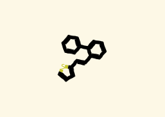 C(=Cc1ccccc1-c1ccccc1)c1cccs1